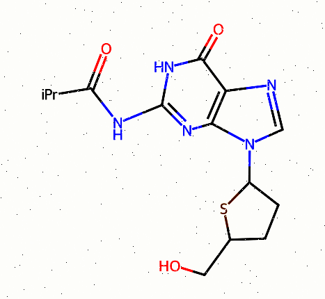 CC(C)C(=O)Nc1nc2c(ncn2C2CCC(CO)S2)c(=O)[nH]1